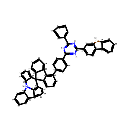 c1ccc(-c2nc(-c3ccc(-c4cccc5c4-c4ccccc4C54c5ccccc5-n5c6ccccc6c6cccc4c65)cc3)nc(-c3ccc4c(c3)sc3ccccc34)n2)cc1